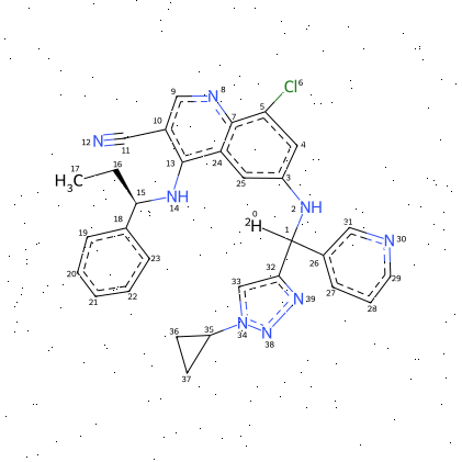 [2H]C(Nc1cc(Cl)c2ncc(C#N)c(N[C@H](CC)c3ccccc3)c2c1)(c1cccnc1)c1cn(C2CC2)nn1